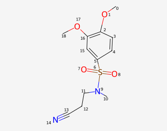 COc1ccc(S(=O)(=O)N(C)CCC#N)cc1OC